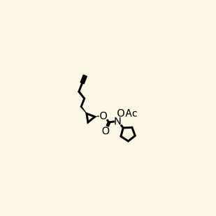 C#CCCC[C@@H]1C[C@H]1OC(=O)N(OC(C)=O)C1CCCC1